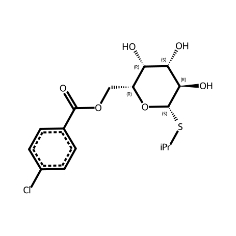 CC(C)S[C@@H]1O[C@H](COC(=O)c2ccc(Cl)cc2)[C@H](O)[C@H](O)[C@H]1O